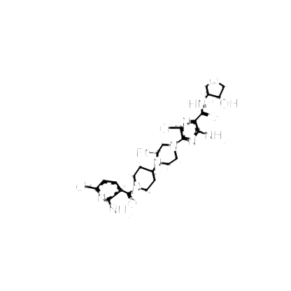 CC[C@H]1CN(c2nc(N)c(C(=O)NC3COCC3O)nc2Cl)CCN1C1CCN(C(=O)c2ccc(Cl)nc2N)CC1